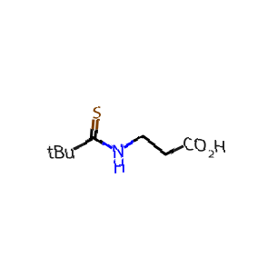 CC(C)(C)C(=S)NCCC(=O)O